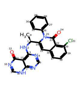 C[C@H](Nc1ncnc2[nH]cnc(=O)c12)c1cc2cccc(Cl)c2c(=O)n1-c1ccccc1